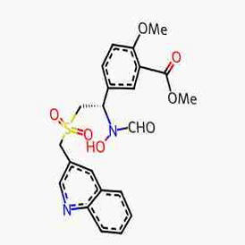 COC(=O)c1cc([C@@H](CS(=O)(=O)Cc2cnc3ccccc3c2)N(O)C=O)ccc1OC